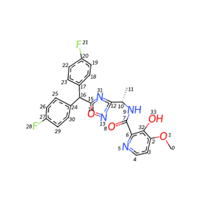 COc1ccnc(C(=O)N[C@@H](C)c2noc(C(c3ccc(F)cc3)c3ccc(F)cc3)n2)c1O